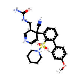 COc1ccc(-c2cccc(C3(C#N)C=CN=CC3CNC(N)=O)c2S(=O)(=O)N2CCCCC2)cc1